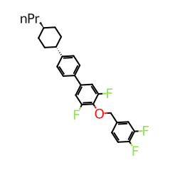 CCC[C@H]1CC[C@H](c2ccc(-c3cc(F)c(OCc4ccc(F)c(F)c4)c(F)c3)cc2)CC1